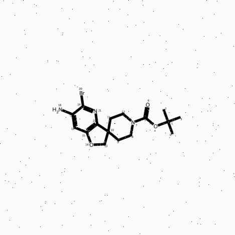 CC(C)(C)OC(=O)N1CCC2(CC1)COc1cc(N)c(Br)nc12